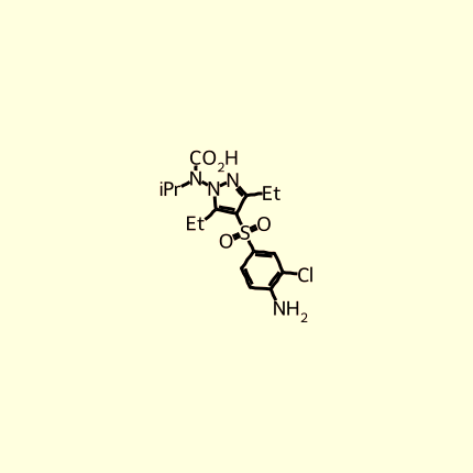 CCc1nn(N(C(=O)O)C(C)C)c(CC)c1S(=O)(=O)c1ccc(N)c(Cl)c1